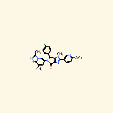 COc1ccc(-c2nc3c(n2C)C(c2ccc(Cl)cc2)N(c2cc(C)c4nnc(C)n4c2)C3=O)cn1